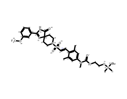 Cc1cc(N(C)C(=O)OCCO[Si](C)(C)C(C)(C)C)cc(C)c1/C=C/S(=O)(=O)N1CCC2(CC1)N=C(c1cccc(OC(F)(F)F)c1)NC2=O